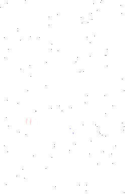 C[CH]c1cccnc1O